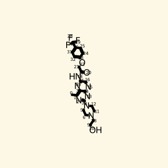 Cc1nc(N2CCN(CCO)CC2)nc2ncc(NC(=O)COc3ccc(C(F)(F)F)cc3)nc12